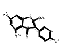 CC(=O)Oc1oc2cc(O)cc(OC(C)=O)c2c(=O)c1-c1ccc(O)cc1